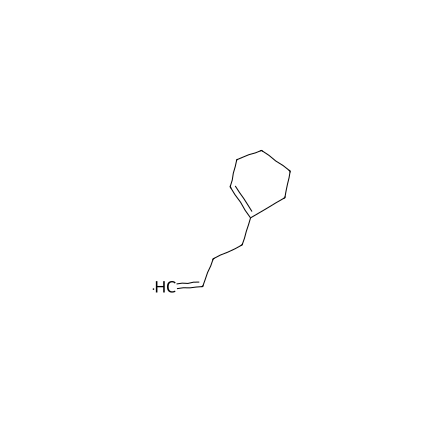 [CH]=CCCC1=CCCCC1